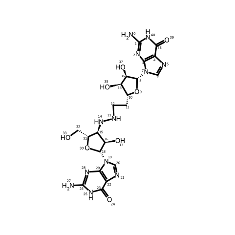 Nc1nc2c(ncn2[C@@H]2O[C@H](CCNN[C@H]3[C@@H](O)[C@H](n4cnc5c(=O)[nH]c(N)nc54)O[C@@H]3CO)[C@@H](O)[C@H]2O)c(=O)[nH]1